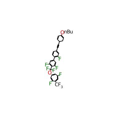 CCCCOC1=CCC(C#Cc2ccc(-c3cc(F)c(C(F)(F)OC4=CC(F)=C=C(C(F)(F)F)C(F)=C4)c(F)c3)c(F)c2)C=C1